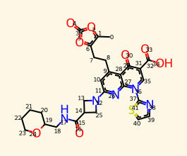 Cc1oc(=O)oc1CCc1cc(N2CC(C(=O)NCC3CCCCO3)C2)nc2c1c(=O)c(C(=O)O)cn2-c1nccs1